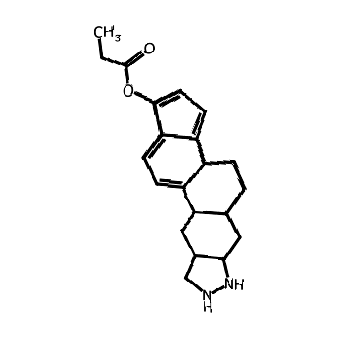 CCC(=O)OC1=CC=C2C1=CC=C1C2CCC2CC3NNCC3CC12